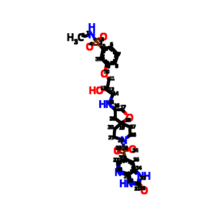 CNS(=O)(=O)c1cccc(OC[C@@H](O)CNC2COC3(CCN(S(=O)(=O)c4cnc5[nH]c(=O)[nH]c5c4)CC3)C2)c1